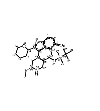 CC[C@@H]1CN(c2c3c(ccc(=O)n3C)nn2C2CCCCO2)[C@@H](CO[Si](C)(C)C(C)(C)C)CN1